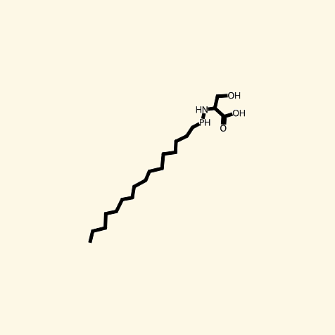 CCCCCCCCCCCCCCCCPNC(CO)C(=O)O